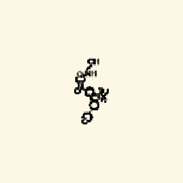 CCN(CC(=O)NCCO)C(=O)c1ccc2c(c1)c1c(n2S(=O)(=O)CC)CC[C@@H](C2CCOCC2)C1